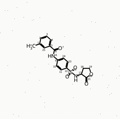 Cc1cccc(C(=O)Nc2ccc(S(=O)(=O)NC3CCOC3=O)cc2)c1